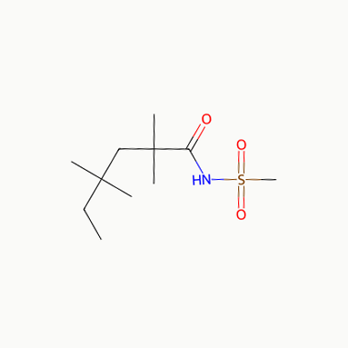 CCC(C)(C)CC(C)(C)C(=O)NS(C)(=O)=O